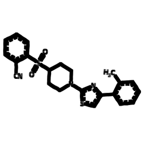 Cc1ccccc1-c1csc(N2CCC(S(=O)(=O)c3ccccc3C#N)CC2)n1